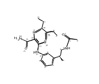 [CH2]C(=O)NC[C@@H](C)c1cccc(Nc2nc(CC)c(CC)nc2C(N)=O)c1